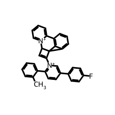 Cc1ccccc1-c1ccc(-c2ccc(F)cc2)c[n+]1C1=CC2[n+]3ccccc3-c3cccc4c3C142